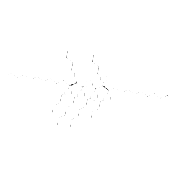 CCCCCCCCCCC(OCCCC)=C(OCCCC)C(OCCCCCC)OC(OCCCCCC)C(OCCCC)=C(CCCCCCCCCC)OCCCC